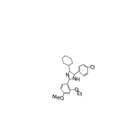 CCOc1cc(OC)ccc1C1=NC(C2CCCCC2)C(c2ccc(Cl)cc2)N1